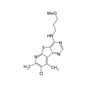 COCCCNc1ncnc2c1sc1nc(C)c(Cl)c(C)c12